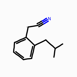 CC(C)Cc1ccccc1[CH]C#N